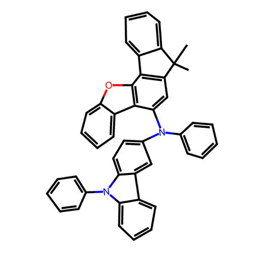 CC1(C)c2ccccc2-c2c1cc(N(c1ccccc1)c1ccc3c(c1)c1ccccc1n3-c1ccccc1)c1c2oc2ccccc21